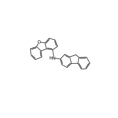 c1ccc2c(c1)Cc1cc(Nc3cccc4oc5ccccc5c34)ccc1-2